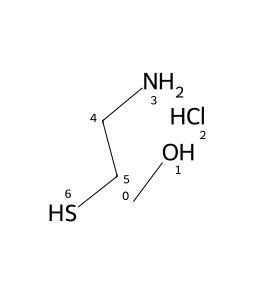 CO.Cl.NCCS